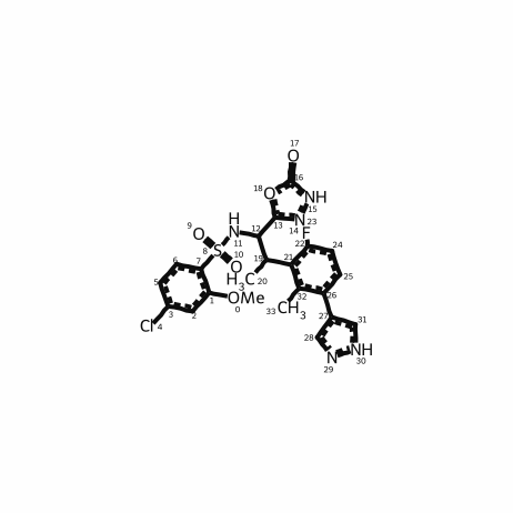 COc1cc(Cl)ccc1S(=O)(=O)NC(c1n[nH]c(=O)o1)C(C)c1c(F)ccc(-c2cn[nH]c2)c1C